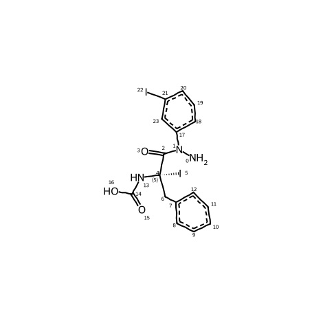 NN(C(=O)[C@@](I)(Cc1ccccc1)NC(=O)O)c1cccc(I)c1